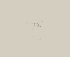 COc1ccc(COc2cc3c(nc2NS(=O)(=O)c2cccc(Cl)c2C)CCN(C)C3)cc1OCCN(C)C